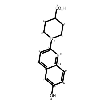 O=C(O)C1CCN(c2ccc3cc(O)ccc3n2)CC1